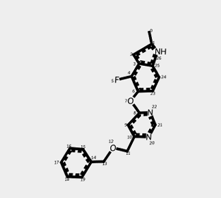 Cc1cc2c(F)c(Oc3cc(COCc4ccccc4)ncn3)ccc2[nH]1